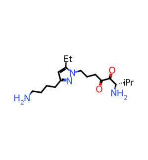 CCc1cc(CCCCN)nn1CCCC(=O)C(=O)[C@@H](N)C(C)C